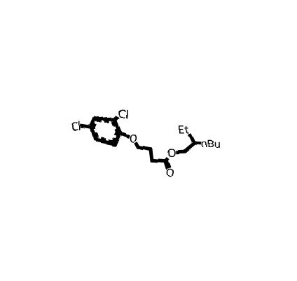 CCCCC(CC)COC(=O)CCCOc1ccc(Cl)cc1Cl